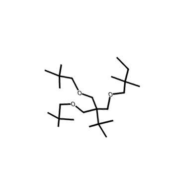 CCC(C)(C)COCC(COCC(C)(C)C)(COCC(C)(C)C)C(C)(C)C